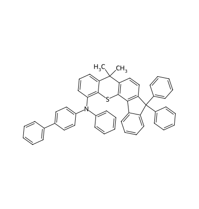 CC1(C)c2cccc(N(c3ccccc3)c3ccc(-c4ccccc4)cc3)c2Sc2c1ccc1c2-c2ccccc2C1(c1ccccc1)c1ccccc1